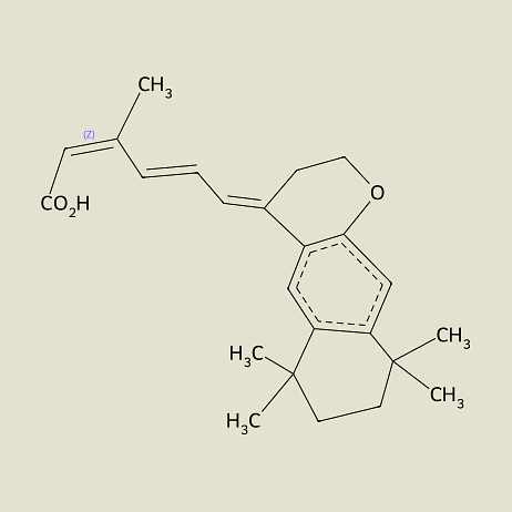 C/C(C=CC=C1CCOc2cc3c(cc21)C(C)(C)CCC3(C)C)=C/C(=O)O